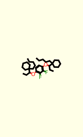 CCCCCC1(C(CC)Oc2ccc(OC(CC)C3(CCCCC)CCCCC3)c(F)c2F)CCCCC1